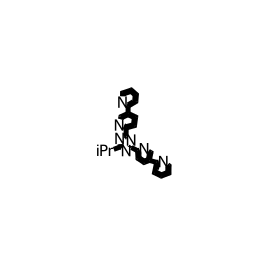 CC(C)c1nc(-c2ccc(-c3ccccn3)cn2)nc(-c2ccc(-c3ccccn3)cn2)n1